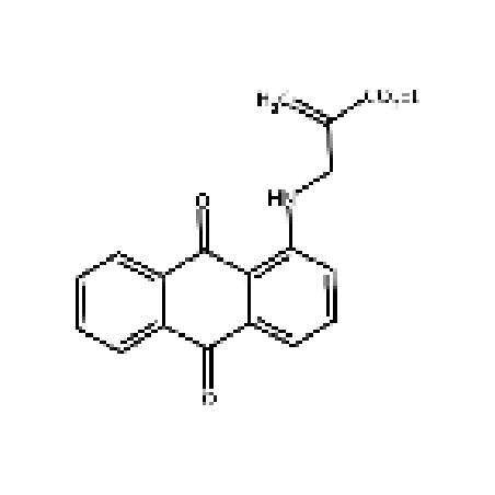 C=C(CNc1cccc2c1C(=O)c1ccccc1C2=O)C(=O)OCC